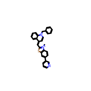 C[n+]1c(C=C2C=CN(Cc3ccccc3)c3ccccc32)sc2cc(-c3cccnc3)ccc21